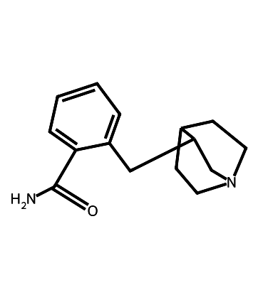 NC(=O)c1ccccc1CC1CN2CCC1CC2